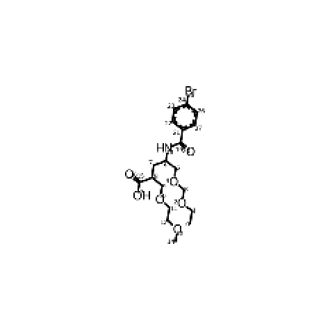 CCOCOCC(CC(COCCOC)C(=O)O)NC(=O)c1ccc(Br)cc1